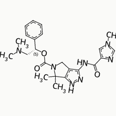 CN(C)C[C@@H](OC(=O)N1Cc2c(NC(=O)c3cn(C)cn3)n[nH]c2C1(C)C)c1ccccc1